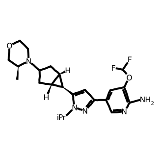 CC(C)n1nc(-c2cnc(N)c(OC(F)F)c2)cc1[C@H]1[C@@H]2CC(N3CCOC[C@@H]3C)C[C@@H]21